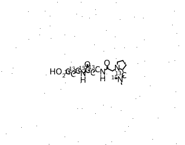 C[15N](C)[13CH2]C1CCCN1CC(=O)N[13CH2][13CH2][13C](=O)[15NH][13CH2][13CH2][13C](=O)O